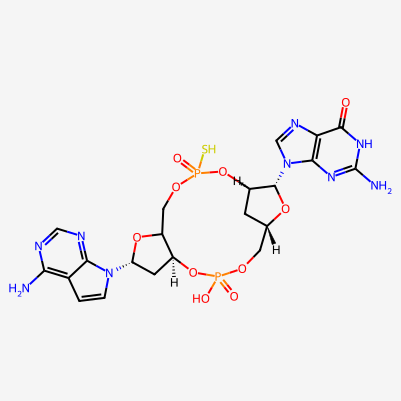 Nc1nc2c(ncn2[C@@H]2O[C@@H]3COP(=O)(O)O[C@H]4C[C@H](n5ccc6c(N)ncnc65)OC4COP(=O)(S)O[C@@H]2C3)c(=O)[nH]1